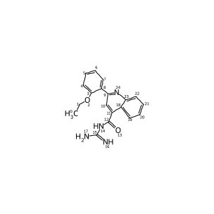 CCOc1ccccc1-c1cc(C(=O)NC(=N)N)c2ccccc2n1